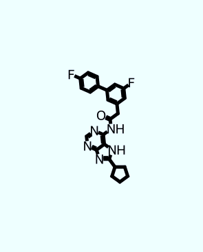 O=C(Cc1cc(F)cc(-c2ccc(F)cc2)c1)Nc1ncnc2nc(C3CCCC3)[nH]c12